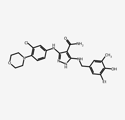 CCc1cc(CNc2[nH]nc(Nc3ccc(N4CCOCC4)c(Cl)c3)c2C(N)=O)cc(C)c1O